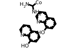 N[CH](N)[Co].Oc1cccc2cccnc12.Oc1cccc2cccnc12